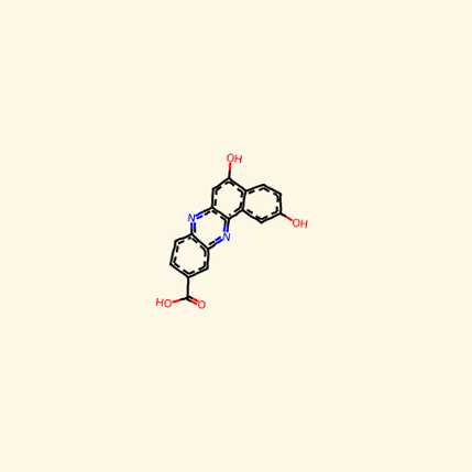 O=C(O)c1ccc2nc3cc(O)c4ccc(O)cc4c3nc2c1